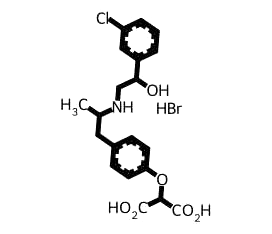 Br.CC(Cc1ccc(OC(C(=O)O)C(=O)O)cc1)NCC(O)c1cccc(Cl)c1